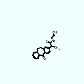 CC(C(=O)NCCO)c1ccc2c(c1)CCc1ccccc1C2=O